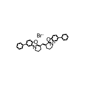 C(=C1CCC[n+]2c1oc1ccc(-c3ccccc3)cc12)C1=C2Oc3ccc(-c4ccccc4)cc3N2CCC1.[Br-]